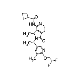 Cc1cc(C(C)N2C(=O)c3ccnc(NC(=O)C4CCC4)c3C2C)cnc1OCC(F)F